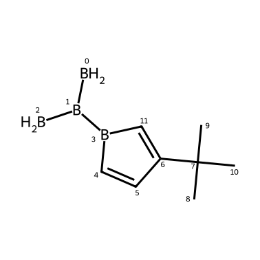 BB(B)B1C=CC(C(C)(C)C)=C1